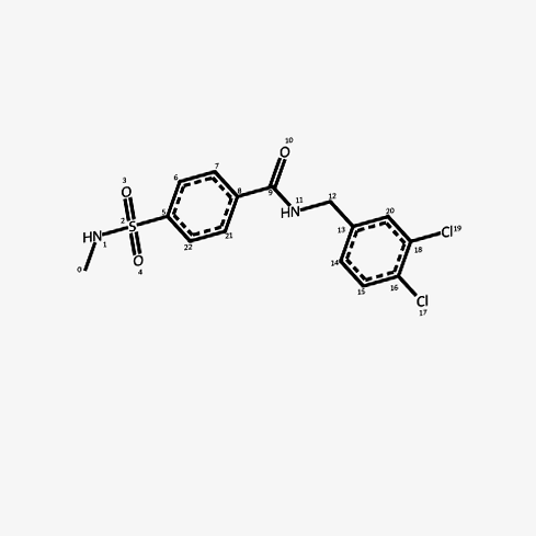 CNS(=O)(=O)c1ccc(C(=O)NCc2ccc(Cl)c(Cl)c2)cc1